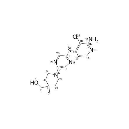 CC1(CO)CCN(c2cnc(Sc3ccnc(N)c3Cl)cn2)CC1